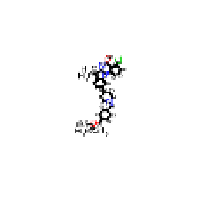 CC1(C)c2ccc(C3CCN(CC4CCC(CO[Si](C)(C)C(C)(C)C)CC4)CC3)cc2-n2c1nc(=O)c1c(Cl)cccc12